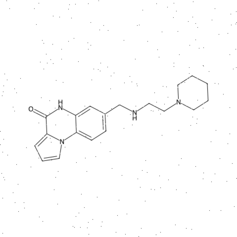 O=c1[nH]c2cc(CNCCN3CCCCC3)ccc2n2cccc12